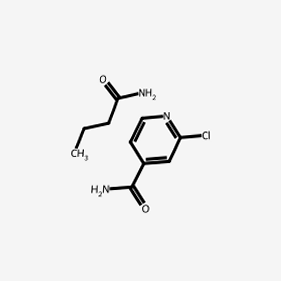 CCCC(N)=O.NC(=O)c1ccnc(Cl)c1